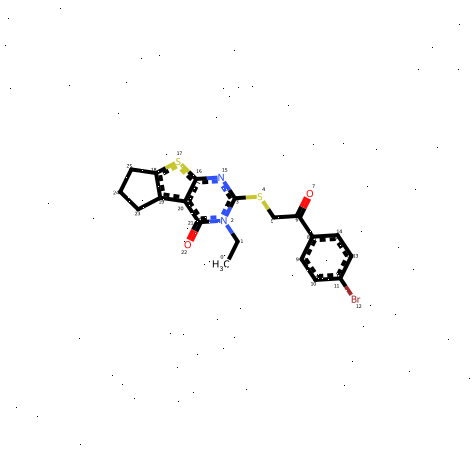 CCn1c(SCC(=O)c2ccc(Br)cc2)nc2sc3c(c2c1=O)CCC3